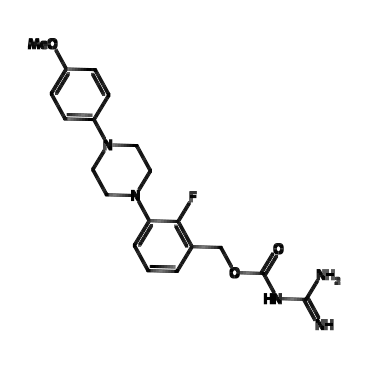 COc1ccc(N2CCN(c3cccc(COC(=O)NC(=N)N)c3F)CC2)cc1